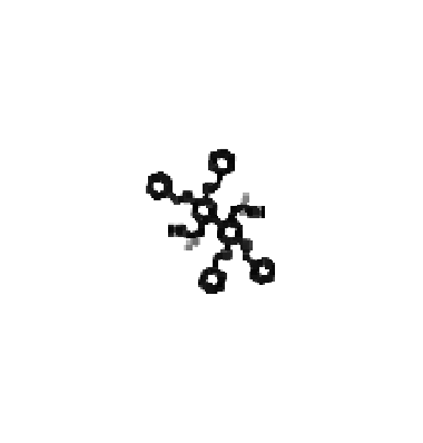 C[C@H](O)Cc1cc(OCc2ccccc2)c(OCc2ccccc2)cc1-c1cc(OCc2ccccc2)c(OCc2ccccc2)cc1C[C@H](C)O